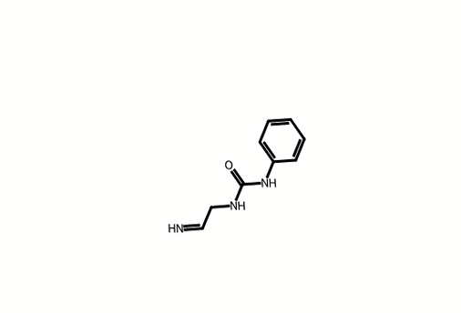 N=CCNC(=O)Nc1ccccc1